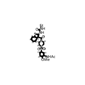 CCNC(=O)Nc1sc2ccccc2c1C(=O)N1CCN(S(=O)(=O)c2ccc(OC)c(NC(C)=O)c2)CC1